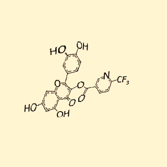 O=C(Oc1c(-c2ccc(O)c(O)c2)oc2cc(O)cc(O)c2c1=O)c1ccc(C(F)(F)F)nc1